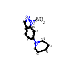 O=[N+]([O-])n1ncc2ccc(N3CCCCC3)cc21